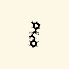 Cc1cccc(C(=O)NC(C)Cc2ccccc2)c1